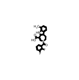 Cc1cccc2c3c([nH]c12)C(C(=O)O)=CN(C(=O)c1cccc(F)c1F)CC3